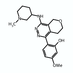 COc1ccc(-c2nnc(NC3CCCN(C)C3)c3c2CCOC3)c(O)c1